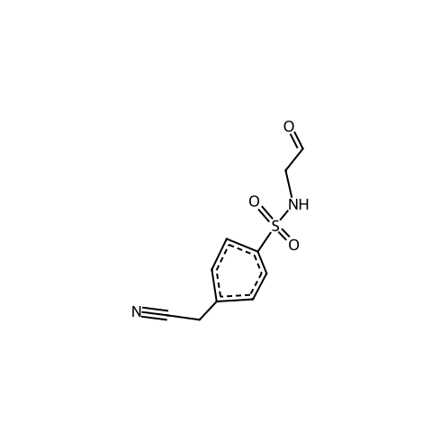 N#CCc1ccc(S(=O)(=O)NCC=O)cc1